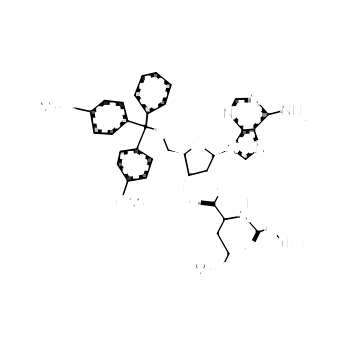 COc1ccc(C(OC[C@H]2O[C@@H](n3cnc4c(N)ncnc43)[C@H](OC(=O)C(CCSC)NC(=O)OC(C)(C)C)[C@@H]2O)(c2ccccc2)c2ccc(OC)cc2)cc1